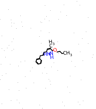 CCCCOC1NNC(/C=C/Cc2ccccc2)C=C1C